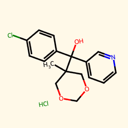 CC1(C(O)(c2ccc(Cl)cc2)c2cccnc2)COCOC1.Cl